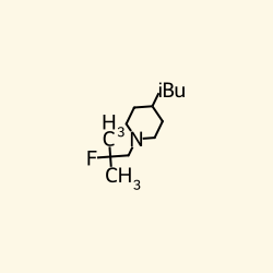 CCC(C)C1CCN(CC(C)(C)F)CC1